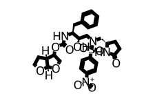 O=C1CC[C@@H](CN(C[C@@H](O)[C@H](Cc2ccccc2)NC(=O)OC2CO[C@H]3OCC[C@@H]23)S(=O)(=O)c2ccc([N+](=O)[O-])cc2)N1